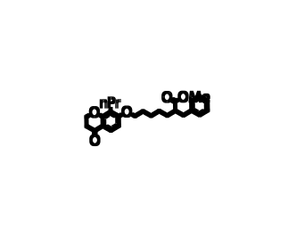 CCCc1c(OCCCCCC(Cc2ccccc2)C(=O)OC)ccc2c1OCCC2=O